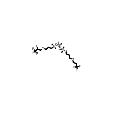 C[SiH](O[Si](C)(C)CCCOCC(F)C(F)(F)F)O[Si](C)(C)OCCCOCCC(F)(F)F